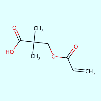 C=CC(=O)OCC(C)(C)C(=O)O